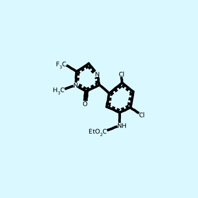 CCOC(=O)Nc1cc(-c2ncc(C(F)(F)F)n(C)c2=O)c(Cl)cc1Cl